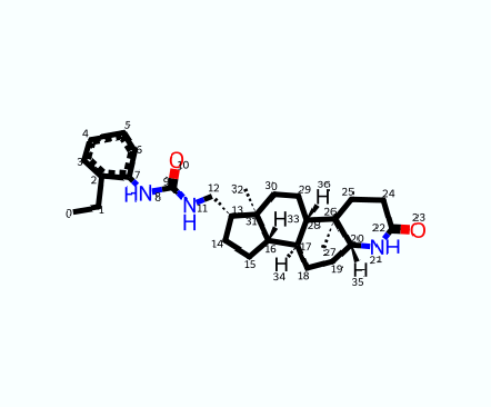 CCc1ccccc1NC(=O)NC[C@H]1CC[C@H]2[C@@H]3CC[C@H]4NC(=O)CC[C@]4(C)[C@H]3CC[C@]12C